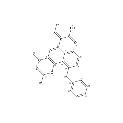 C/C=C(\C(=O)O)c1cc(OC)c(OC(C)=O)c2c(Cc3ccccc3)cccc12